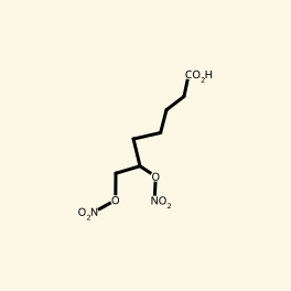 O=C(O)CCCCC(CO[N+](=O)[O-])O[N+](=O)[O-]